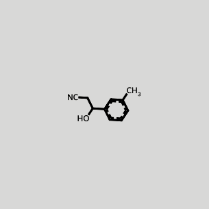 Cc1cccc(C(O)CC#N)c1